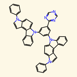 c1ccc(-n2ccc3c4c5ccccc5n(-c5cc(-c6ncncn6)cc(-n6c7ccccc7c7c8ccn(-c9ccccc9)c8ccc76)c5)c4ccc32)cc1